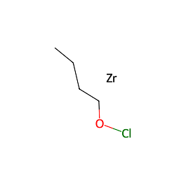 CCCCOCl.[Zr]